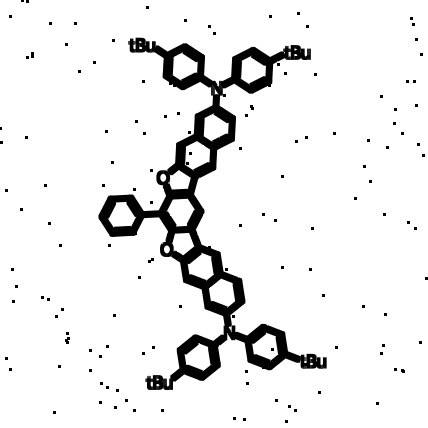 CC(C)(C)c1ccc(N(c2ccc(C(C)(C)C)cc2)c2ccc3cc4c(cc3c2)oc2c(-c3ccccc3)c3oc5cc6cc(N(c7ccc(C(C)(C)C)cc7)c7ccc(C(C)(C)C)cc7)ccc6cc5c3cc24)cc1